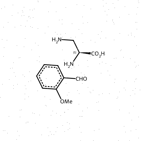 COc1ccccc1C=O.NC[C@H](N)C(=O)O